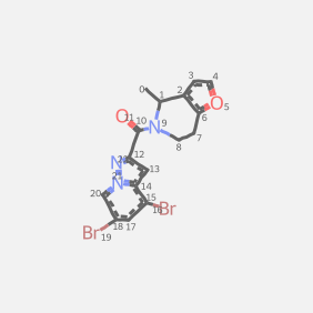 CC1c2ccoc2CCN1C(=O)c1cc2c(Br)cc(Br)cn2n1